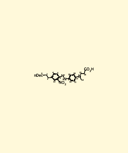 CCCCCCCCCCCCc1ccc(N=Nc2ccc(N(C)CCC(=O)O)cc2)c([N+](=O)[O-])c1